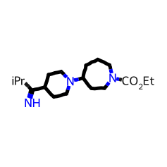 CCOC(=O)N1CCCC(N2CCC(C(=N)C(C)C)CC2)CC1